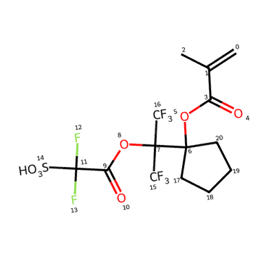 C=C(C)C(=O)OC1(C(OC(=O)C(F)(F)S(=O)(=O)O)(C(F)(F)F)C(F)(F)F)CCCC1